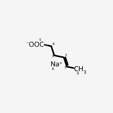 CC=CCCC(=O)[O-].[Na+]